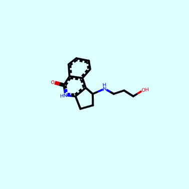 O=c1[nH]c2c(c3ccccc13)C(NCCCO)CC2